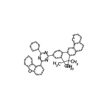 CC1(C)c2cc(-c3nc(-c4ccccc4)nc(-c4cccc5oc6ccccc6c45)n3)ccc2-c2cc3c(ccc4ccccc43)cc2C1(C)C